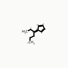 CCCC(CC)=C1C=CC=C1